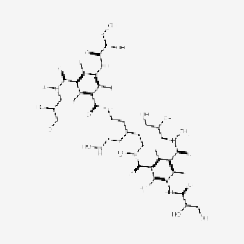 Cc1c(NC(=O)C(O)CO)c(I)c(C(=O)N(C)CC(O)CO)c(I)c1C(=O)N(C)CCC(CCNO)CCNC(=O)c1c(I)c(NC(=O)C(O)CO)c(I)c(C(=O)N(C)CC(O)CO)c1I